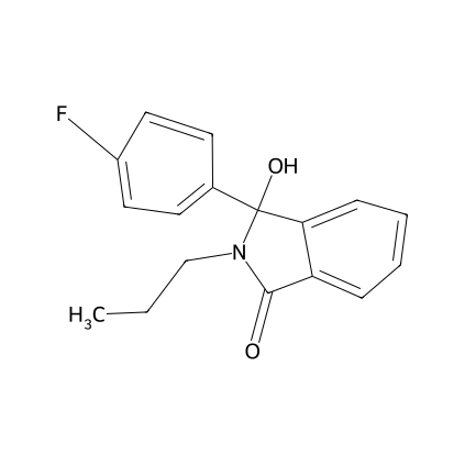 CCCN1C(=O)c2ccccc2C1(O)c1ccc(F)cc1